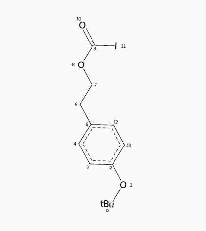 CC(C)(C)Oc1ccc(CCOC(=O)I)cc1